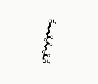 C=CC(=O)OCCC(=O)OC(=O)/C=C/C=C/C